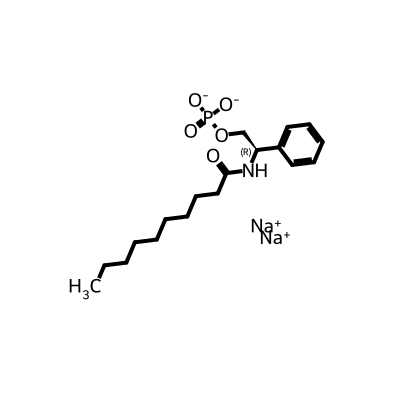 CCCCCCCCCC(=O)N[C@@H](COP(=O)([O-])[O-])c1ccccc1.[Na+].[Na+]